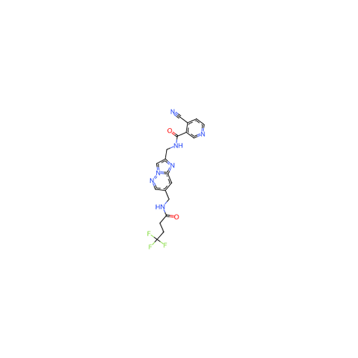 N#Cc1ccncc1C(=O)NCc1cn2ncc(CNC(=O)CCC(F)(F)F)cc2n1